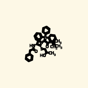 CC(O)CS[C@@H]1[C@H](NC(=O)Cc2ccccc2)C(=O)N1C(C(=O)OC(C)(C)C)=P(c1ccccc1)(c1ccccc1)c1ccccc1